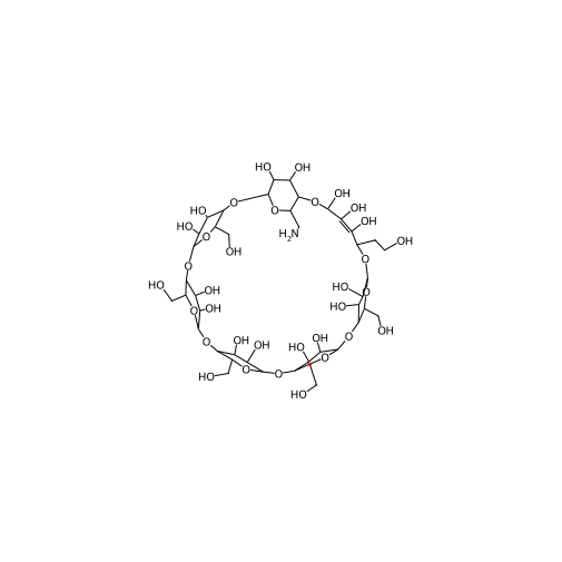 NCC1OC2OC3C(CO)OC(OC4C(CO)OC(OC5C(CO)OC(OC6C(CO)OC(OC7C(CO)OC(OC(CCO)/C(O)=C(/O)C(O)OC1C(O)C2O)C(O)C7O)C(O)C6O)C(O)C5O)C(O)C4O)C(O)C3O